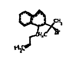 C=CCOc1c(C(C)(C)Br)ccc2ccccc12